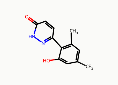 Cc1cc(C(F)(F)F)cc(O)c1-c1ccc(=O)[nH]n1